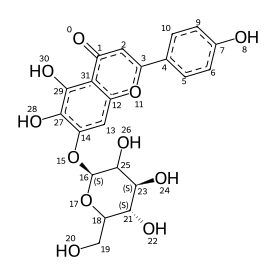 O=c1cc(-c2ccc(O)cc2)oc2cc(O[C@@H]3OC(CO)[C@@H](O)[C@H](O)C3O)c(O)c(O)c12